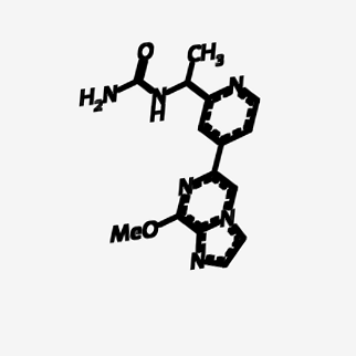 COc1nc(-c2ccnc(C(C)NC(N)=O)c2)cn2ccnc12